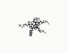 CCCC(=O)OC1OC(CO)[C@H](OC(=O)CCC)[C@H](OC(=O)CCC)C1NC(=O)CN=[N+]=[N-]